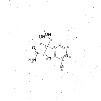 NC(=O)C(Cl)C(CO)(CO)c1ccnc(Br)c1